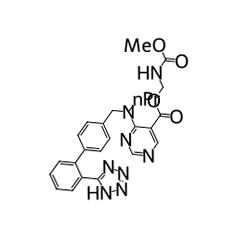 CCCN(Cc1ccc(-c2ccccc2-c2nnn[nH]2)cc1)c1ncncc1C(=O)OCNC(=O)OC